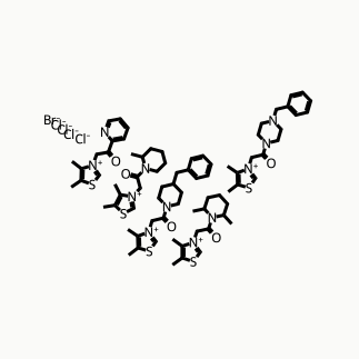 Cc1sc[n+](CC(=O)N2C(C)CCCC2C)c1C.Cc1sc[n+](CC(=O)N2CCC(Cc3ccccc3)CC2)c1C.Cc1sc[n+](CC(=O)N2CCCCC2C)c1C.Cc1sc[n+](CC(=O)N2CCN(Cc3ccccc3)CC2)c1C.Cc1sc[n+](CC(=O)c2ccccn2)c1C.[Br-].[Cl-].[Cl-].[Cl-].[Cl-]